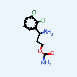 NC(=O)OCCC(N)c1cccc(Cl)c1Cl